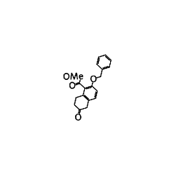 COC(=O)c1c(OCc2ccccc2)ccc2c1CCC(=O)C2